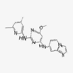 COc1cc(Nc2ccn3ccnc3c2)nc(Nc2cc(C)cc(C)n2)n1